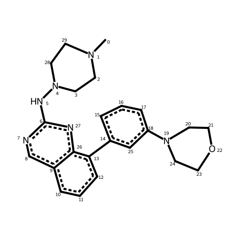 CN1CCN(Nc2ncc3cccc(-c4cccc(N5CCOCC5)c4)c3n2)CC1